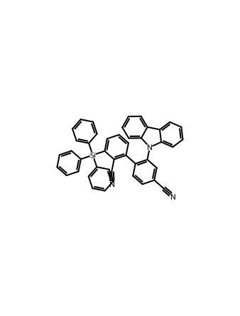 N#Cc1ccc(-c2cccc([Si](c3ccccc3)(c3ccccc3)c3ccccc3)c2C#N)c(-n2c3ccccc3c3ccccc32)c1